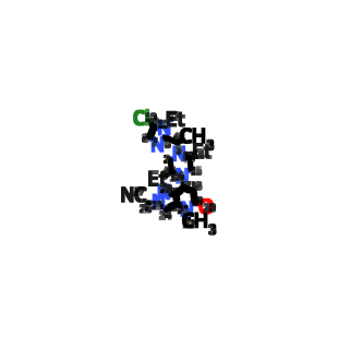 CC[C@H]1CN(C(C)c2ncc(Cl)n2CC)[C@H](CC)CN1c1cc(=O)n(C)c2cn(CC#N)nc12